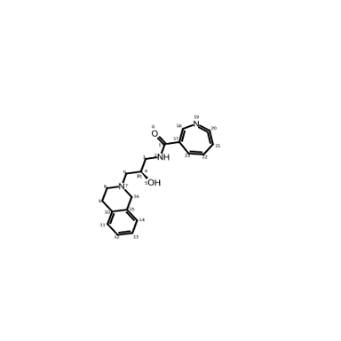 O=C(NC[C@@H](O)CN1CCc2ccccc2C1)C1=CN=C=CC=C1